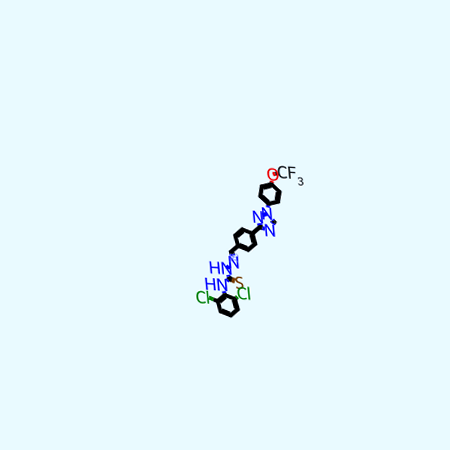 FC(F)(F)Oc1ccc(-n2cnc(-c3ccc(/C=N/NC(=S)Nc4c(Cl)cccc4Cl)cc3)n2)cc1